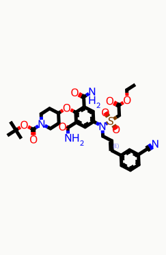 CCOC(=O)CS(=O)(=O)N(C/C=C/c1cccc(C#N)c1)c1cc(C(N)=O)c(OC2CCN(C(=O)OC(C)(C)C)CC2)c(C(N)=O)c1